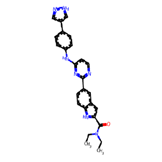 CCN(CC)C(=O)c1cc2cc(-c3nccc(Nc4ccc(-c5cn[nH]c5)cc4)n3)ccc2[nH]1